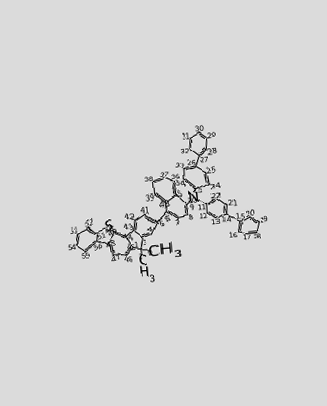 CC1(C)c2cc(-c3ccc(N(c4ccc(-c5ccccc5)cc4)c4ccc(-c5ccccc5)cc4)c4ccccc34)ccc2-c2c1ccc1c2sc2ccccc21